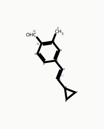 Cc1cc(/C=C/C2CC2)ccc1C=O